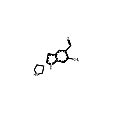 C1CCNC1.Cc1cc2[nH]ccc2cc1C=O